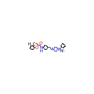 CCC(Oc1ccccc1)C(=O)Nc1ccc(CCN2CCN(c3nsc4ccccc34)CC2)cc1